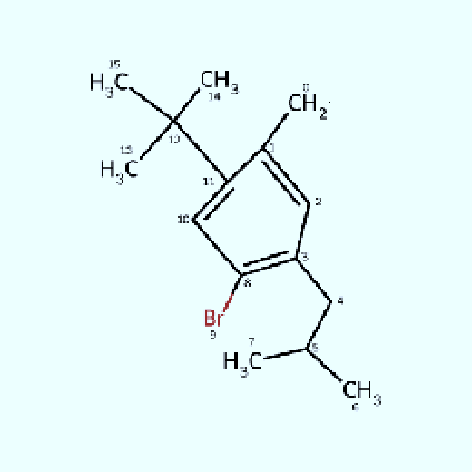 [CH2]c1cc(CC(C)C)c(Br)cc1C(C)(C)C